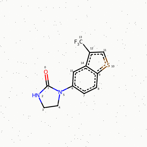 O=C1NCCN1c1ccc2scc(C(F)(F)F)c2c1